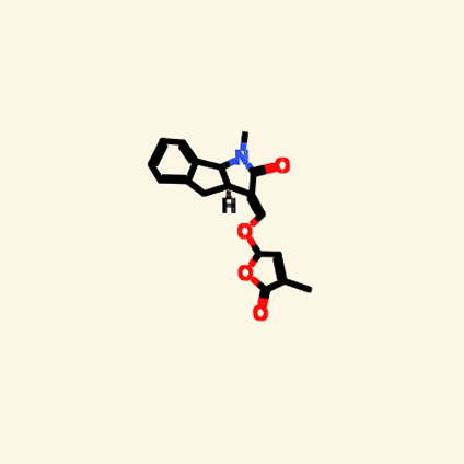 CC1=CC(O/C=C2/C(=O)N(C)C3c4ccccc4C[C@H]23)OC1=O